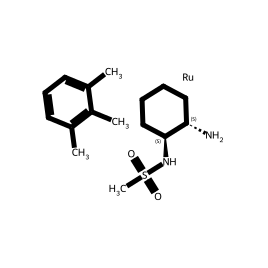 CS(=O)(=O)N[C@H]1CCCC[C@@H]1N.Cc1cccc(C)c1C.[Ru]